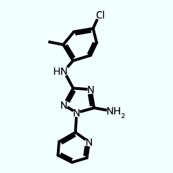 Cc1cc(Cl)ccc1Nc1nc(N)n(-c2ccccn2)n1